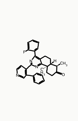 C[C@H]1C(=O)CC[C@@]2(C)c3nc(-c4ccncc4-c4ccccc4)nc(-c4ccccc4F)c3CC[C@H]12